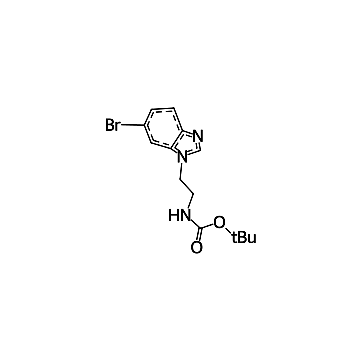 CC(C)(C)OC(=O)NCCn1cnc2ccc(Br)cc21